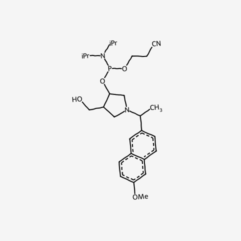 COc1ccc2cc(C(C)N3CC(CO)C(OP(OCCC#N)N(C(C)C)C(C)C)C3)ccc2c1